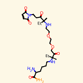 CCC(C)(NCCOCCOCC(=O)C(C)(CC)NCCCCC(N)C(=O)P)C(=O)CCN1C(=O)C=CC1=O